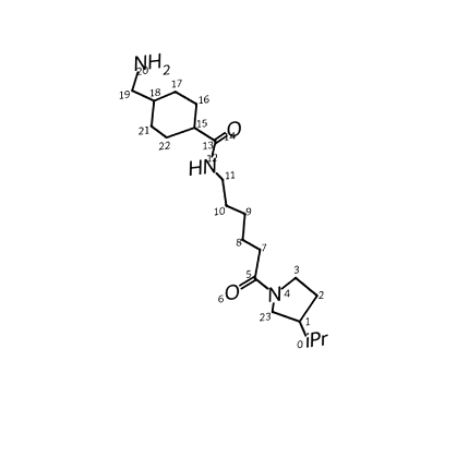 CC(C)C1CCN(C(=O)CCCCCNC(=O)C2CCC(CN)CC2)C1